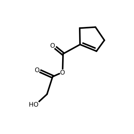 O=C(CO)OC(=O)C1=CCCC1